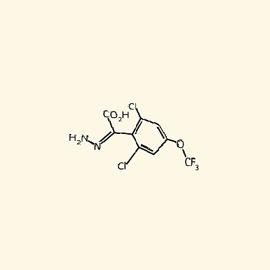 NN=C(C(=O)O)c1c(Cl)cc(OC(F)(F)F)cc1Cl